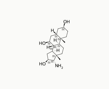 C[C@]12CC[C@H](O)C[C@H]1C[C@H](O)[C@@H]1[C@@H]2CC[C@]2(C)[C@H](N)[C@@H](O)C[C@@H]12